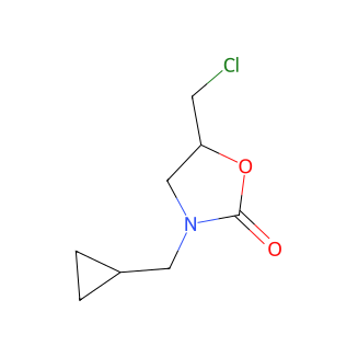 O=C1OC(CCl)CN1CC1CC1